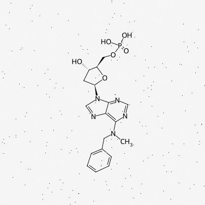 CN(Cc1ccccc1)c1ncnc2c1ncn2[C@H]1C[C@H](O)[C@@H](COP(=O)(O)O)O1